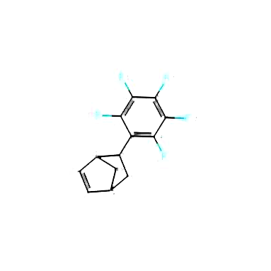 Fc1c(F)c(F)c(C2CC3C=CC2C3)c(F)c1F